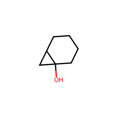 OC12CCCCC1C2